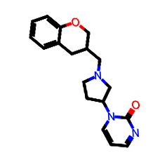 O=c1ncccn1C1CCN(CC2COc3ccccc3C2)C1